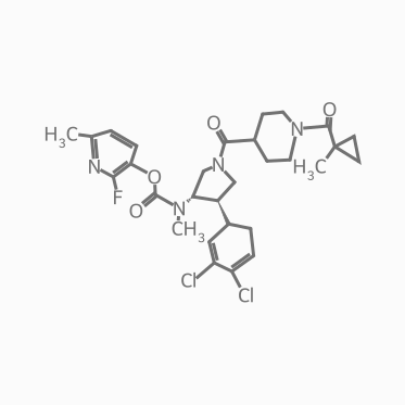 Cc1ccc(OC(=O)N(C)[C@@H]2CN(C(=O)C3CCN(C(=O)C4(C)CC4)CC3)C[C@H]2C2C=C(Cl)C(Cl)=CC2)c(F)n1